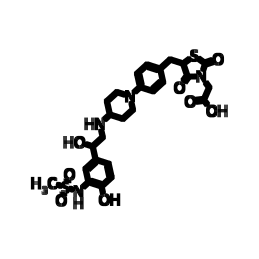 CS(=O)(=O)Nc1cc(C(O)CNC2CCN(c3ccc(CC4SC(=O)N(CC(=O)O)C4=O)cc3)CC2)ccc1O